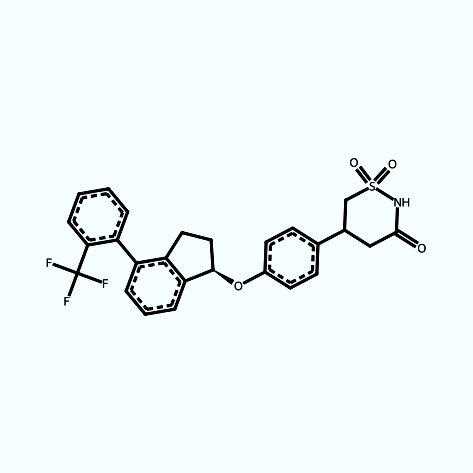 O=C1CC(c2ccc(O[C@@H]3CCc4c(-c5ccccc5C(F)(F)F)cccc43)cc2)CS(=O)(=O)N1